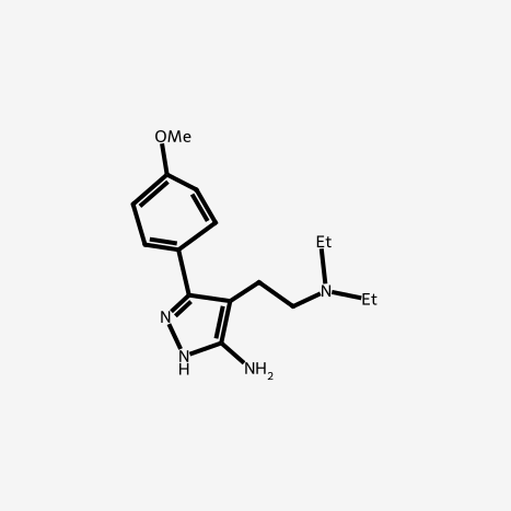 CCN(CC)CCc1c(-c2ccc(OC)cc2)n[nH]c1N